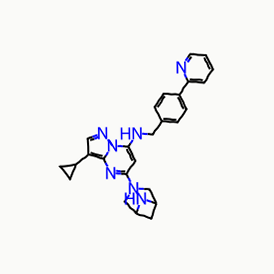 c1ccc(-c2ccc(CNc3cc(N4CC5CC(C4)N5)nc4c(C5CC5)cnn34)cc2)nc1